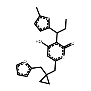 CCC(c1ccc(C)s1)c1c(O)cc(CC2(Cc3ccco3)CC2)oc1=O